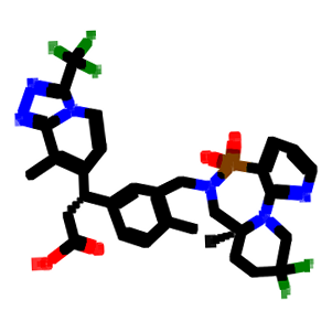 Cc1ccc([C@H](CC(=O)O)c2ccn3c(C(F)(F)F)nnc3c2C)cc1CN1C[C@@H]2CCC(F)(F)CN2c2ncccc2S1(=O)=O